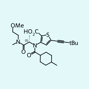 COCCN(C)C(=O)[C@H](C)N(C(=O)C1CCC(C)CC1)c1cc(C#CC(C)(C)C)sc1C(=O)O